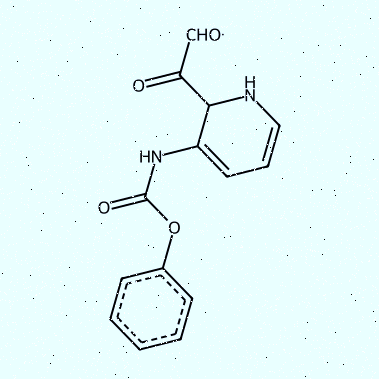 O=[C]C(=O)C1NC=CC=C1NC(=O)Oc1ccccc1